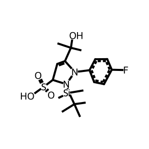 CC(C)(O)C1=CC(S(=O)(=O)O)N([Si](C)(C)C(C)(C)C)N1c1ccc(F)cc1